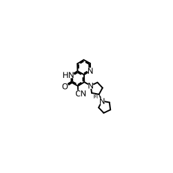 N#Cc1c(N2CC[C@@H](N3CCCC3)C2)c2ncccc2[nH]c1=O